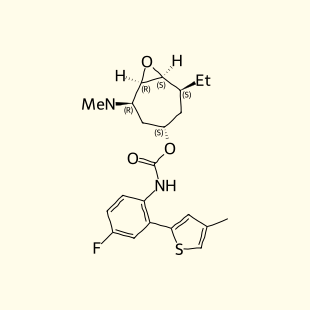 CC[C@H]1C[C@H](OC(=O)Nc2ccc(F)cc2-c2cc(C)cs2)C[C@@H](NC)[C@H]2O[C@@H]12